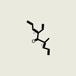 C=C/C=C(\C)C(=O)/C(C=C)=C/C=C